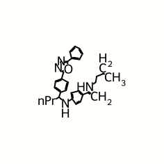 C=C(C)CCNC(=C)c1ccc(NC(CCC)c2ccc(-c3nnc(-c4ccccc4)o3)cc2)cc1